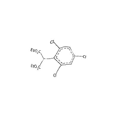 CCOC(=O)C(C(=O)OCC)c1c(Cl)cc(Cl)cc1Cl